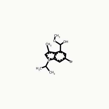 COC(O)c1cc(Br)cc2c1c(C)cn2C(C)C